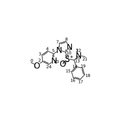 COc1ccc(-n2ccnc2[S+]([O-])C(c2ccccc2)N(C)C)nc1